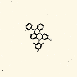 Cc1cc(C)c(N2c3cc(Cl)ccc3B3c4ccccc4N(c4ccccc4)c4cccc2c43)c(C)c1